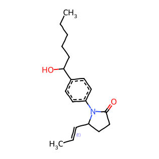 C/C=C/C1CCC(=O)N1c1ccc(C(O)CCCCC)cc1